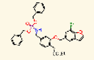 CCOC(=O)Cc1ccc(CNP(=O)(OCc2ccccc2)OCc2ccccc2)cc1OCc1cc(Br)c2occc2c1